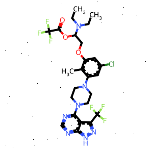 CCN(CC)C(COc1cc(Cl)cc(N2CCN(c3ncnc4[nH]nc(C(F)(F)F)c34)CC2)c1C)OC(=O)C(F)(F)F